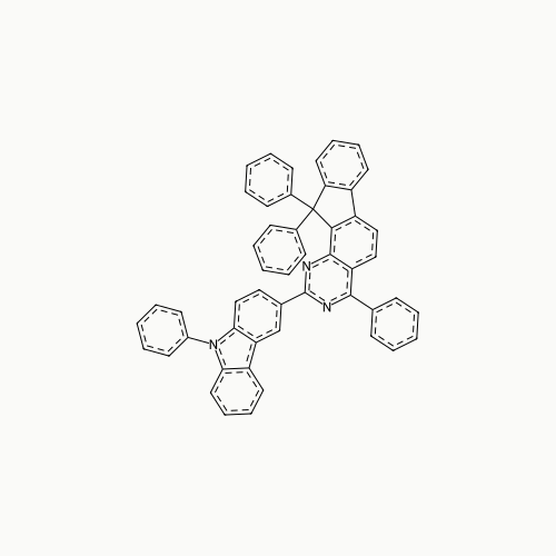 c1ccc(-c2nc(-c3ccc4c(c3)c3ccccc3n4-c3ccccc3)nc3c4c(ccc23)-c2ccccc2C4(c2ccccc2)c2ccccc2)cc1